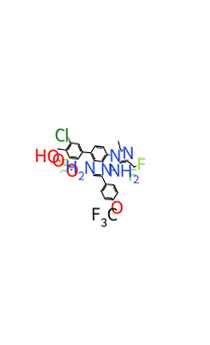 Cc1nc(C(F)F)cn1-c1ccc(-c2cc(Cl)c(CO)c(S(C)(=O)=O)c2)cc1N(N)/C(=C\N)c1ccc(OC(F)(F)F)cc1